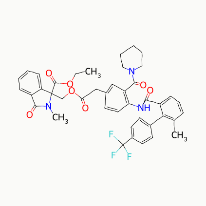 CCOC(=O)C1(COC(=O)Cc2ccc(NC(=O)c3cccc(C)c3-c3ccc(C(F)(F)F)cc3)c(C(=O)N3CCCCC3)c2)c2ccccc2C(=O)N1C